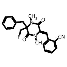 CN1C(=O)C(CF)(Cc2ccccc2)N(C)C(=O)C1=Cc1ccccc1C#N